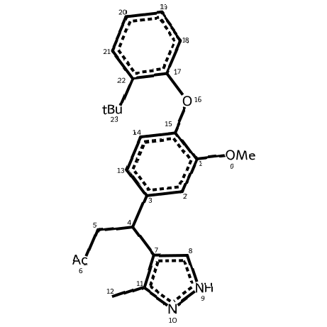 COc1cc(C(CC(C)=O)c2c[nH]nc2C)ccc1Oc1ccccc1C(C)(C)C